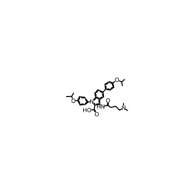 CC(C)Oc1ccc(-c2ccc3c(c2)c(NC(=O)CCCN(C)C)c(C(=O)O)n3-c2ccc(OC(C)C)cc2)cc1